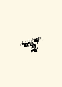 C[C@@H](NC(=O)c1cn(C2(C(F)F)CCC2)c(=O)cc1N[C@@H]1[C@@H]2CN(C)C[C@@H]21)c1cccc(C(F)F)c1F